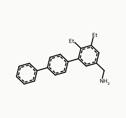 CCc1cc(CN)cc(-c2ccc(-c3ccccc3)cc2)c1CC